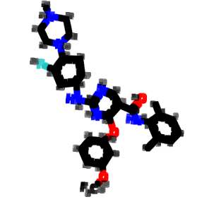 Cc1cccc(C)c1NC(=O)c1cnc(Nc2ccc(N3CCN(C)CC3)c(F)c2)nc1Oc1cccc(OC(F)(F)F)c1